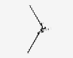 CCCCCCCCCCCCCCCCCC(=O)OCC(O[C@H](COC(=O)CCCCCCCCCCCCCCCCC)OC)[C@@H](O)C(C)O